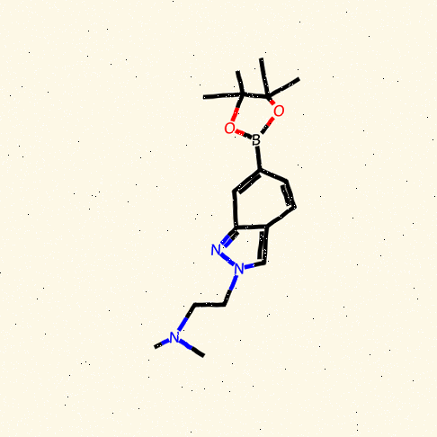 CN(C)CCn1cc2ccc(B3OC(C)(C)C(C)(C)O3)cc2n1